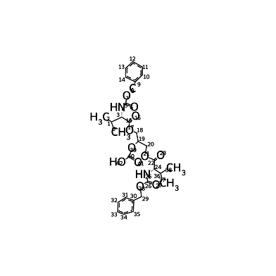 CC(C)[C@H](NC(=O)OCc1ccccc1)C(=O)OCC(COC(=O)[C@@H](NC(=O)OCc1ccccc1)C(C)C)OC(=O)O